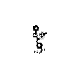 Cc1nnc(NC(Cc2ccc(NS(=O)(=O)O)cc2)c2csc(-c3ccccc3)n2)s1